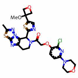 COC1(c2cnc(C3c4c(nc5sc(C)nn45)CCN3C(=O)COc3ccc(N4CCOCC4)nc3Cl)s2)COC1